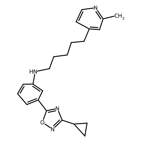 Cc1cc(CCCCCNc2cccc(-c3nc(C4CC4)no3)c2)ccn1